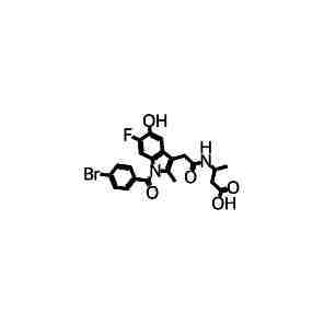 Cc1c(CC(=O)NC(C)CC(=O)O)c2cc(O)c(F)cc2n1C(=O)c1ccc(Br)cc1